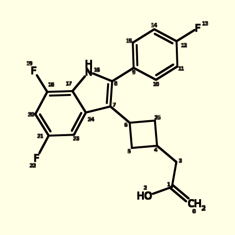 C=C(O)CC1CC(c2c(-c3ccc(F)cc3)[nH]c3c(F)cc(F)cc23)C1